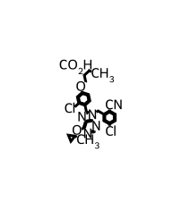 C[C@H](CCOc1ccc(-c2nc3c(OC4(C)CC4)ncnc3n2Cc2cc(Cl)ccc2C#N)c(Cl)c1)C(=O)O